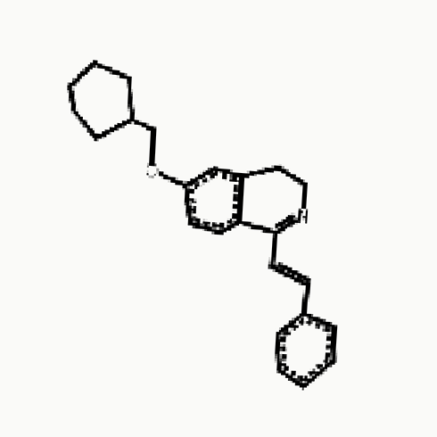 C(=Cc1ccccc1)C1=NCCc2cc(OCC3CCCCC3)ccc21